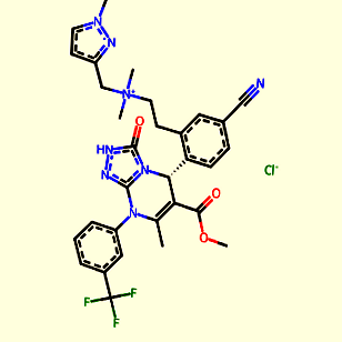 COC(=O)C1=C(C)N(c2cccc(C(F)(F)F)c2)c2n[nH]c(=O)n2[C@@H]1c1ccc(C#N)cc1CC[N+](C)(C)Cc1ccn(C)n1.[Cl-]